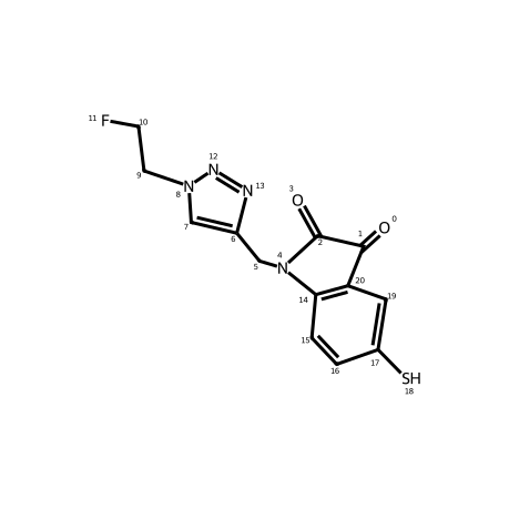 O=C1C(=O)N(Cc2cn(CCF)nn2)c2ccc(S)cc21